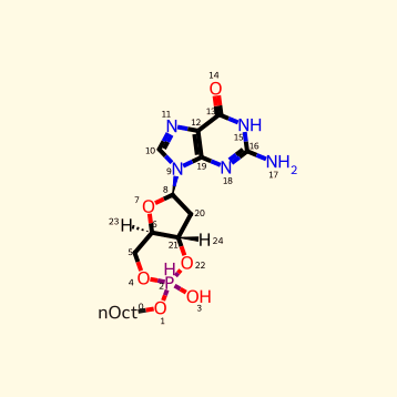 CCCCCCCCO[PH]1(O)OC[C@H]2O[C@@H](n3cnc4c(=O)[nH]c(N)nc43)C[C@@H]2O1